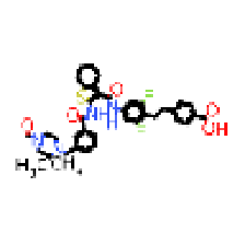 CC1(C)CN(C=O)CCN1Cc1cccc(C(=O)Nc2sc3c(c2C(=O)Nc2cc(F)c(CCc4ccc(C(=O)O)cc4)c(F)c2)CCCC3)c1